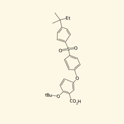 CCC(C)(C)c1ccc(S(=O)(=O)c2ccc(Oc3ccc(OC(C)(C)C)c(C(=O)O)c3)cc2)cc1